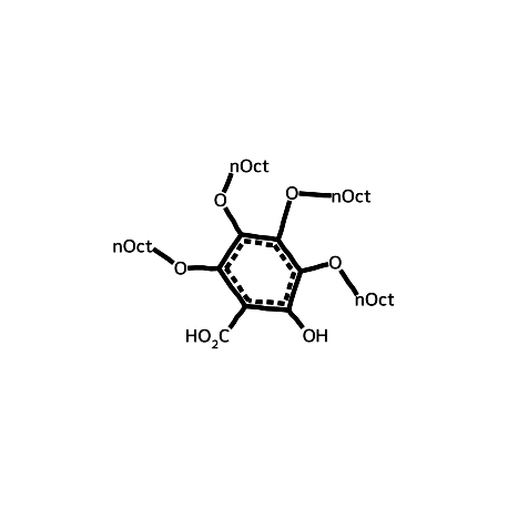 CCCCCCCCOc1c(O)c(C(=O)O)c(OCCCCCCCC)c(OCCCCCCCC)c1OCCCCCCCC